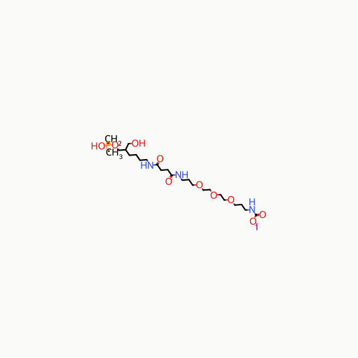 C=P(C)(O)OCC(CO)CCCCNC(=O)CCC(=O)NCCCOCCOCCOCCCNC(=O)OI